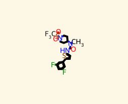 CN(C(=O)Nc1ccc(-c2cc(F)cc(F)c2)s1)C1CCN(S(=O)(=O)C(F)(F)F)CC1